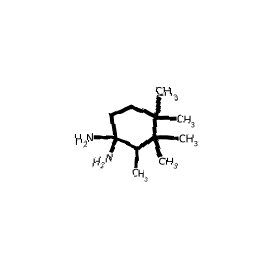 CC1C(N)(N)CCC(C)(C)C1(C)C